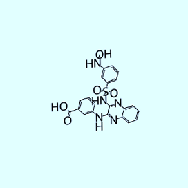 O=C(O)c1cccc(Nc2nc3ccccc3nc2NS(=O)(=O)c2cccc(NO)c2)c1